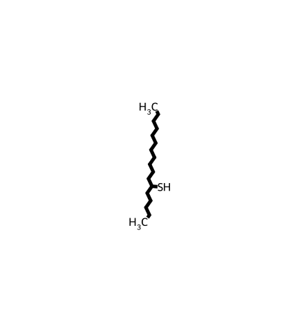 CCCCCCCCCCCC(S)CCCCC